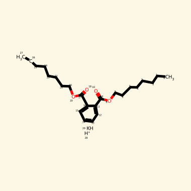 CCCCCCCCOC(=O)c1ccccc1C(=O)OCCCCCCCC.[H+].[KH]